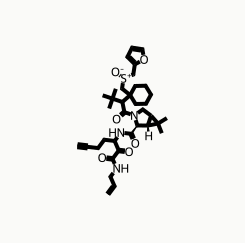 C#CCCC(NC(=O)[C@@H]1[C@@H]2C(CN1C(=O)C(C(C)(C)C)C1(C[S+]([O-])Cc3ccco3)CCCCC1)C2(C)C)C(=O)C(=O)NCC=C